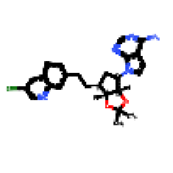 CC1(C)O[C@@H]2[C@@H](CCc3ccc4cc(Cl)cnc4c3)C[C@@H](n3ccc4c(N)ncnc43)[C@@H]2O1